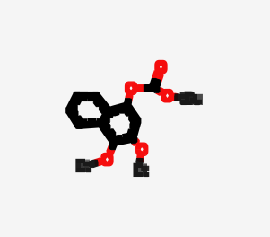 CCOc1cc(OC(=O)OC(C)(C)C)c2ccccc2c1OCC